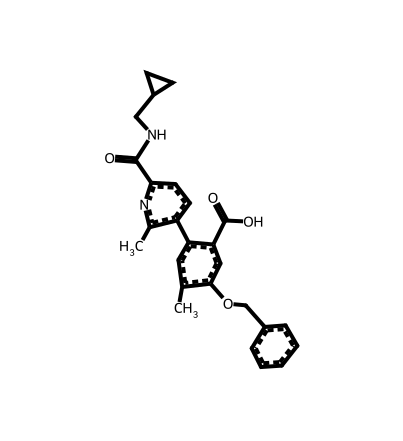 Cc1cc(-c2ccc(C(=O)NCC3CC3)nc2C)c(C(=O)O)cc1OCc1ccccc1